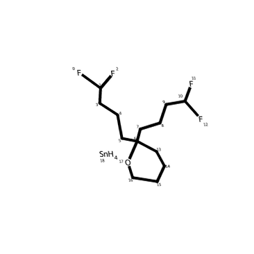 FC(F)CCCC1(CCCC(F)F)CCCCO1.[SnH4]